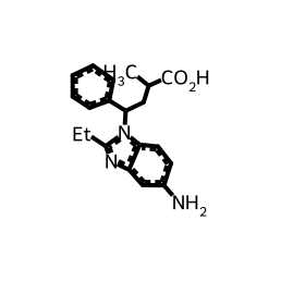 CCc1nc2cc(N)ccc2n1C(CC(C)C(=O)O)c1ccccc1